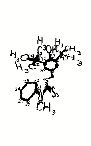 CN(C(=S)SCc1cc(C(C)(C)C)c(O)c(C(C)(C)C)c1)C1CCCCC1